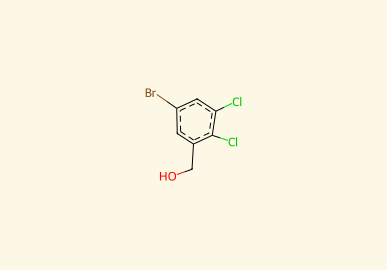 OCc1cc(Br)cc(Cl)c1Cl